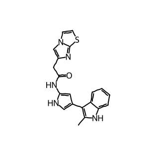 Cc1[nH]c2ccccc2c1-c1c[nH]c(NC(=O)Cc2cn3ccsc3n2)c1